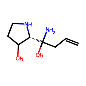 C=CCC(N)(O)[C@H]1NCCC1O